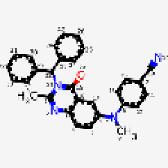 Cc1nc2ccc(N(C)c3ccc(C#N)cc3)cc2c(=O)n1C(c1ccccc1)c1ccccc1